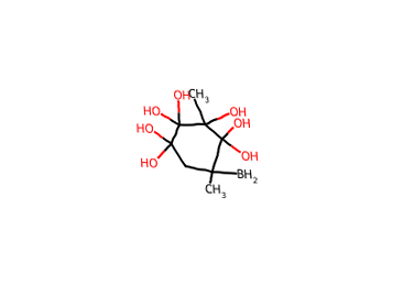 BC1(C)CC(O)(O)C(O)(O)C(C)(O)C1(O)O